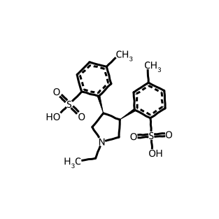 CCN1C[C@H](c2cc(C)ccc2S(=O)(=O)O)[C@H](c2cc(C)ccc2S(=O)(=O)O)C1